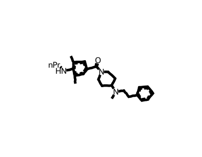 CCCNc1c(C)cc(C(=O)N2CCC(N(C)CCc3ccccc3)CC2)cc1C